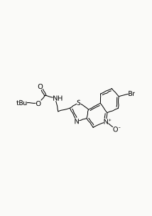 CC(C)(C)OC(=O)NCc1nc2c[n+]([O-])c3cc(Br)ccc3c2s1